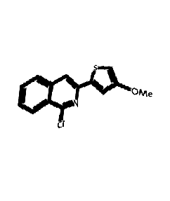 COc1csc(-c2cc3ccccc3c(Cl)n2)c1